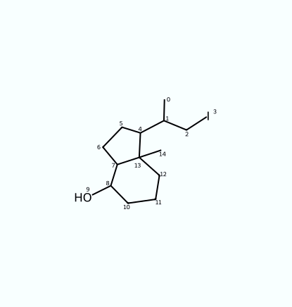 CC(CI)C1CCC2C(O)CCCC12C